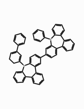 C1=C(c2ccccc2)C=C(N2c3ccccc3-c3ccccc3-c3cc(-c4ccc5c(c4)N(c4ccccc4)c4ccccc4-c4ccccc4-5)ccc32)CC1